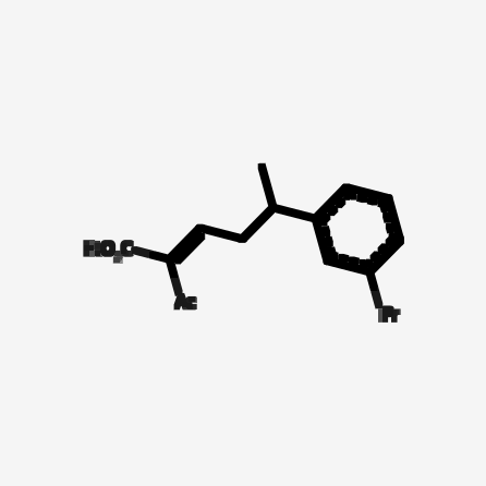 CCOC(=O)C(=CCC(C)c1cccc(C(C)C)c1)C(C)=O